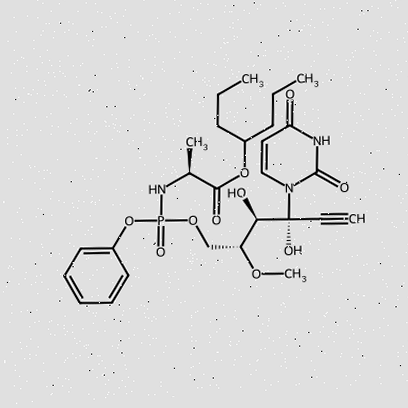 C#C[C@@](O)([C@H](O)[C@@H](COP(=O)(N[C@@H](C)C(=O)OC(CCC)CCC)Oc1ccccc1)OC)n1ccc(=O)[nH]c1=O